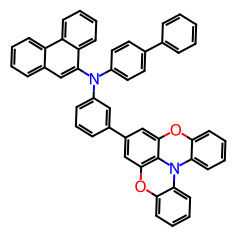 c1ccc(-c2ccc(N(c3cccc(-c4cc5c6c(c4)Oc4ccccc4N6c4ccccc4O5)c3)c3cc4ccccc4c4ccccc34)cc2)cc1